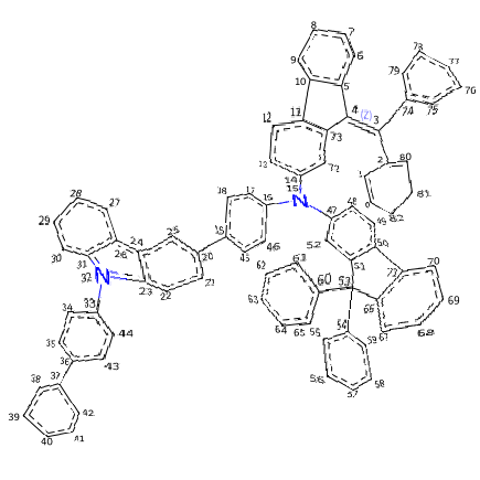 C1=CC(/C(=C2/c3ccccc3-c3ccc(N(c4ccc(-c5ccc6c(c5)c5ccccc5n6-c5ccc(-c6ccccc6)cc5)cc4)c4ccc5c(c4)C(c4ccccc4)(c4ccccc4)c4ccccc4-5)cc32)c2ccccc2)=CCC1